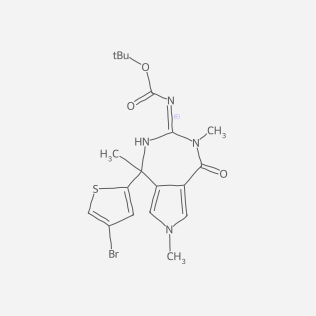 CN1C(=O)c2cn(C)cc2C(C)(c2cc(Br)cs2)N/C1=N\C(=O)OC(C)(C)C